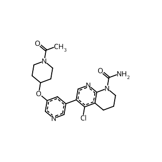 CC(=O)N1CCC(Oc2cncc(-c3cnc4c(c3Cl)CCCN4C(N)=O)c2)CC1